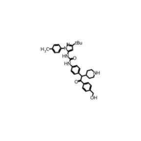 Cc1ccc(-n2nc(C(C)(C)C)cc2NC(=O)Nc2ccc(C(C(=O)c3ccc(CO)cc3)C3CCNCC3)cc2)cc1